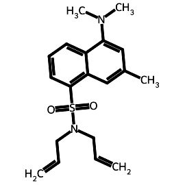 C=CCN(CC=C)S(=O)(=O)c1cccc2c(N(C)C)cc(C)cc12